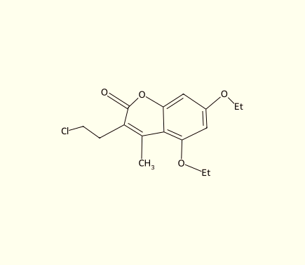 CCOc1cc(OCC)c2c(C)c(CCCl)c(=O)oc2c1